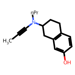 CC#CN(CCC)C1CCc2ccc(O)cc2C1